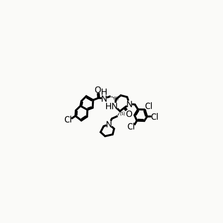 O=C(NC[C@@H]1CCN(Cc2cc(Cl)cc(Cl)c2Cl)C(=O)[C@H](CCN2CCCCC2)N1)c1ccc2cc(Cl)ccc2c1